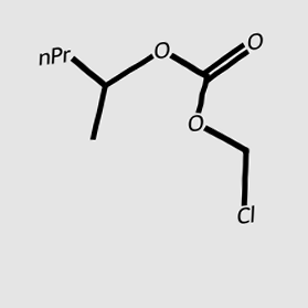 CCCC(C)OC(=O)OCCl